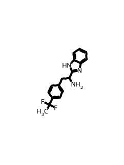 CC(F)(F)c1ccc(CC(N)c2nc3ccccc3[nH]2)cc1